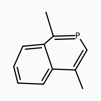 Cc1cpc(C)c2ccccc12